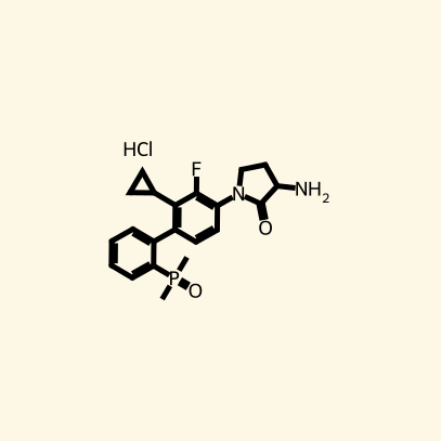 CP(C)(=O)c1ccccc1-c1ccc(N2CCC(N)C2=O)c(F)c1C1CC1.Cl